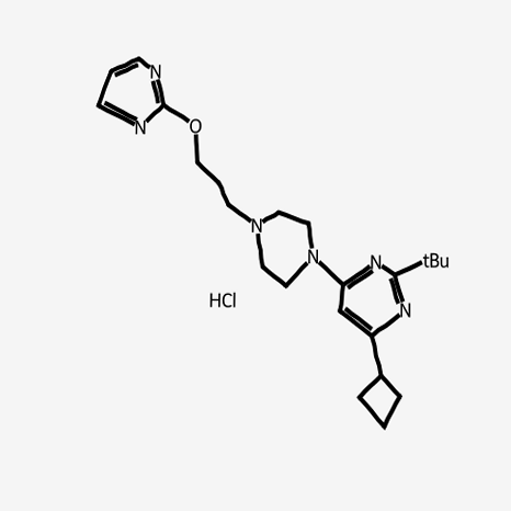 CC(C)(C)c1nc(C2CCC2)cc(N2CCN(CCCOc3ncccn3)CC2)n1.Cl